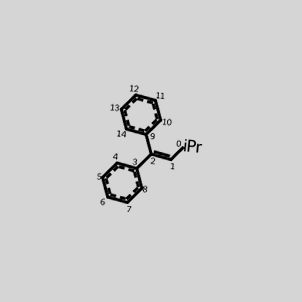 [CH2]C(C)C=C(c1ccccc1)c1ccccc1